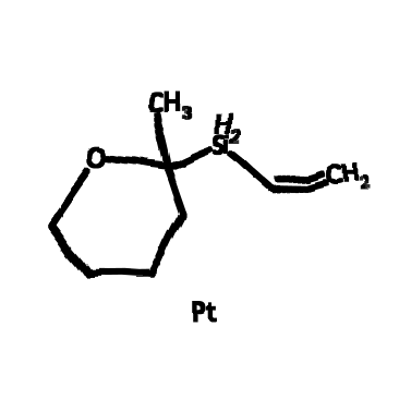 C=C[SiH2]C1(C)CCCCO1.[Pt]